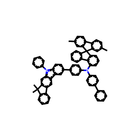 Cc1ccc2c(c1)C1(c3cc(C)ccc3-2)c2ccccc2-c2c(N(c3ccc(-c4ccccc4)cc3)c3ccc(-c4ccc5c(c4)c4cc6c(cc4n5-c4ccccc4)C(C)(C)c4ccccc4-6)cc3)cccc21